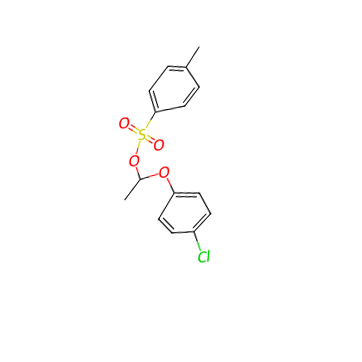 Cc1ccc(S(=O)(=O)OC(C)Oc2ccc(Cl)cc2)cc1